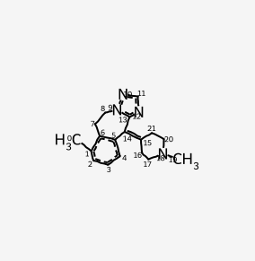 Cc1cccc2c1CCn1ncnc1C2=C1CCN(C)CC1